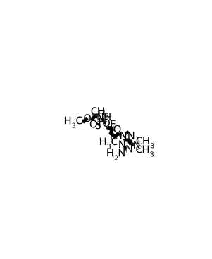 CCOC(=O)[C@@H](C)N[PH](=S)OC[C@]1(F)C[C@H](C)[C@H](n2cnc3c(N(C)C)nc(N)nc32)O1